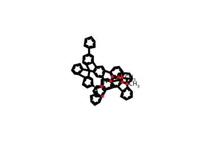 CC1(C)c2ccccc2-c2cc(N(c3ccccc3)c3cc4c(cc3-c3ccccc3)-c3cc(-c5ccccc5)ccc3C43c4ccccc4-c4ccc(N(c5ccccc5)c5ccc(C6C7CC8CC(C7)C6C8)cc5)cc43)ccc21